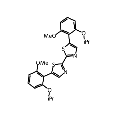 COc1cccc(OC(C)C)c1-c1cnc(-c2ncc(-c3c(OC)cccc3OC(C)C)s2)s1